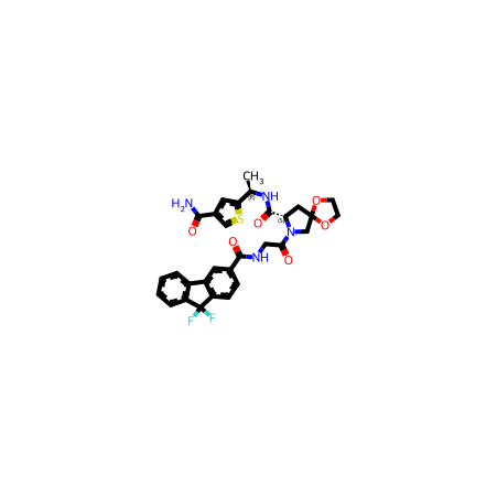 C[C@@H](NC(=O)[C@@H]1CC2(CN1C(=O)CNC(=O)c1ccc3c(c1)-c1ccccc1C3(F)F)OCCO2)c1cc(C(N)=O)cs1